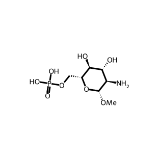 CO[C@@H]1O[C@H](COP(=O)(O)O)[C@@H](O)[C@H](O)[C@H]1N